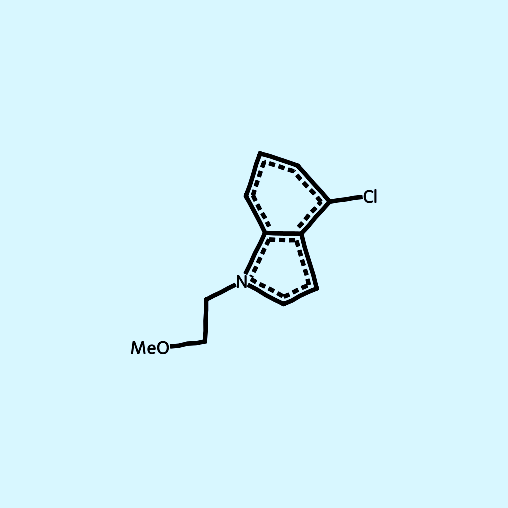 COCCn1ccc2c(Cl)cccc21